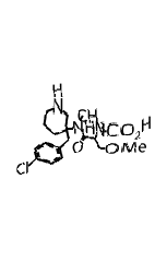 COCC(NC(=O)O)C(=O)N(C)C1(Cc2ccc(Cl)cc2)CCCNC1